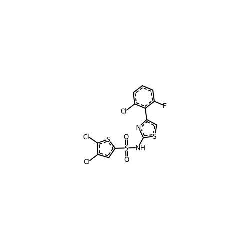 O=S(=O)(Nc1nc(-c2c(F)cccc2Cl)cs1)c1cc(Cl)c(Cl)s1